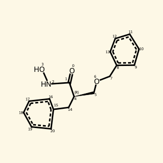 O=C(NO)[C@@H](COCc1ccccc1)Cc1ccccc1